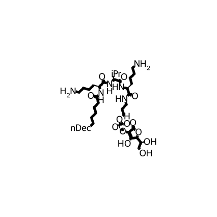 CCCCCCCCCCCCCCCC(=O)N[C@@H](CCCCN)C(=O)N[C@H](C(=O)N[C@@H](CCCCN)C(=O)NCCCOP(=O)(O)OC1=C(O)C([C@@H](O)CO)OC1=O)C(C)C